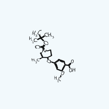 COc1cc(OC2CCN(C(=O)OC(C)(C)C)CC2C)ccc1C(=O)O